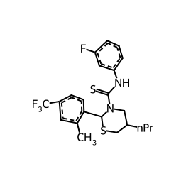 CCCC1CSC(c2ccc(C(F)(F)F)cc2C)N(C(=S)Nc2cccc(F)c2)C1